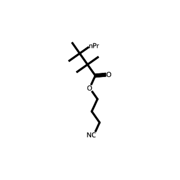 CCCC(C)(C)C(C)(C)C(=O)OCCCC#N